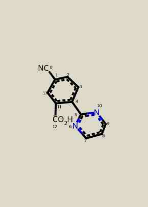 N#Cc1ccc(-c2ncccn2)c(C(=O)O)c1